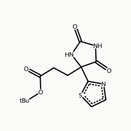 CC(C)(C)OC(=O)CCC1(c2nccs2)NC(=O)NC1=O